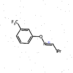 CC(C)/C=N/Oc1cccc(C(F)(F)F)c1